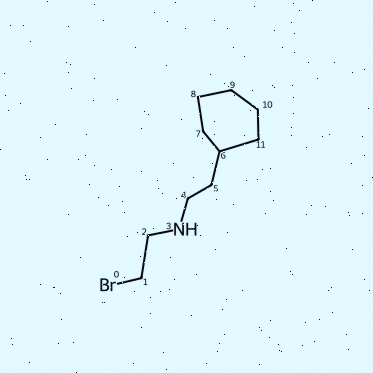 BrCCNCCC1CCCCC1